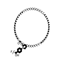 O=C1CCCCCCCCCCCCCCCCCCCCCCCCCCCCCCCCCCCCCCCCCCCCCCCCC2(CC1)CCN(c1ccc(C(O)C(F)(F)F)cc1)C2=O